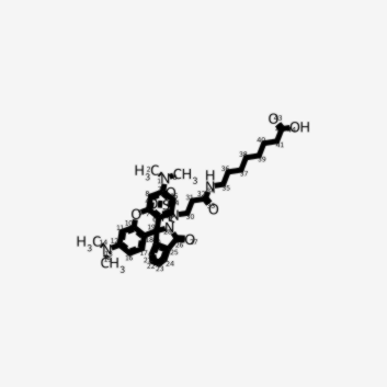 CN(C)c1ccc2c(c1)Oc1cc(N(C)C)ccc1C21c2ccccc2C(=O)N1N(CCC(=O)NCCCCCCCC(=O)O)[SH](=O)=O